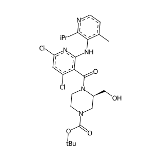 Cc1ccnc(C(C)C)c1Nc1nc(Cl)cc(Cl)c1C(=O)N1CCN(C(=O)OC(C)(C)C)C[C@@H]1CO